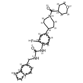 O=C(NCc1ccn2ccnc2c1)Nc1ccc(C2CCN(C(=O)C3CCOCC3)CC2)cc1F